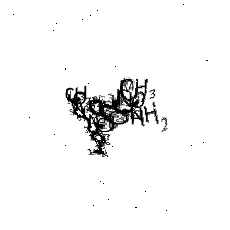 C=CC(=O)N1CCC(c2cc3cc(C4CC4)ccc3c(=O)n2-c2cccc(-c3cc(N)c(=O)n(C)c3)c2CO)C1